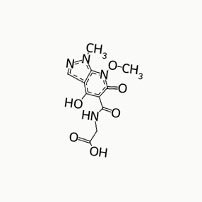 COn1c(=O)c(C(=O)NCC(=O)O)c(O)c2cnn(C)c21